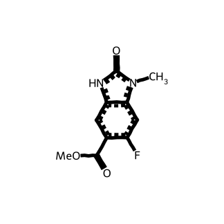 COC(=O)c1cc2[nH]c(=O)n(C)c2cc1F